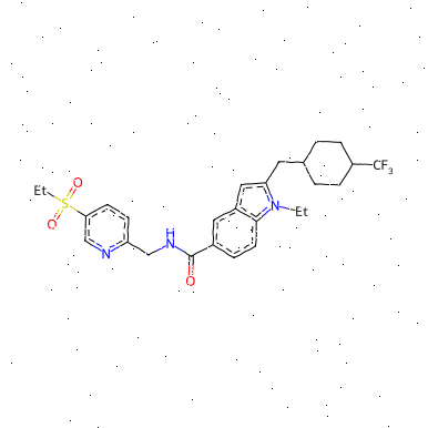 CCn1c(CC2CCC(C(F)(F)F)CC2)cc2cc(C(=O)NCc3ccc(S(=O)(=O)CC)cn3)ccc21